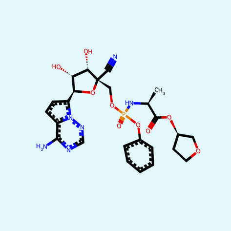 C[C@H](NP(=O)(OC[C@@]1(C#N)O[C@@H](c2ccc3c(N)ncnn23)[C@H](O)[C@@H]1O)Oc1ccccc1)C(=O)O[C@@H]1CCOC1